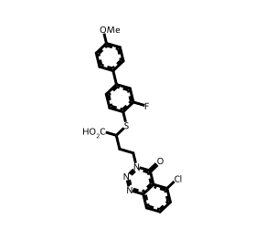 COc1ccc(-c2ccc(SC(CCn3nnc4cccc(Cl)c4c3=O)C(=O)O)c(F)c2)cc1